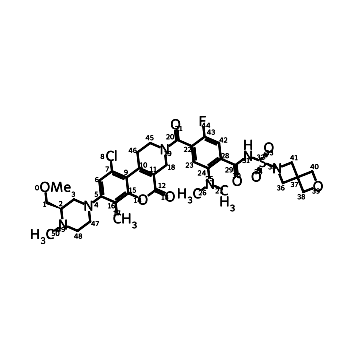 COC[C@H]1CN(c2cc(Cl)c3c4c(c(=O)oc3c2C)CN(C(=O)c2cc(N(C)C)c(C(=O)NS(=O)(=O)N3CC5(COC5)C3)cc2F)CC4)CCN1C